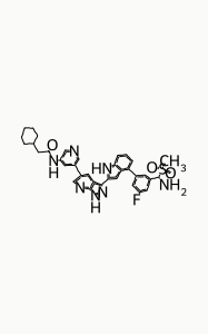 CS(=O)(=O)C(N)c1cc(F)cc(-c2cccc3[nH]c(-c4n[nH]c5ncc(-c6cncc(NC(=O)CC7CCCCC7)c6)cc45)cc23)c1